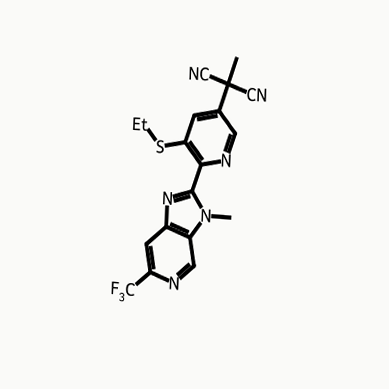 CCSc1cc(C(C)(C#N)C#N)cnc1-c1nc2cc(C(F)(F)F)ncc2n1C